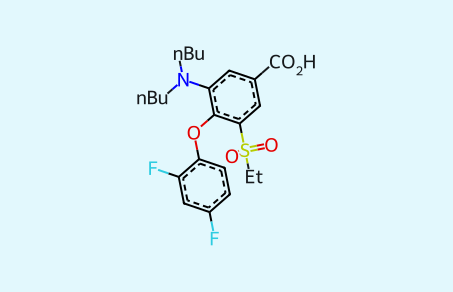 CCCCN(CCCC)c1cc(C(=O)O)cc(S(=O)(=O)CC)c1Oc1ccc(F)cc1F